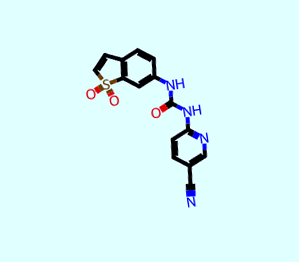 N#Cc1ccc(NC(=O)Nc2ccc3c(c2)S(=O)(=O)C=C3)nc1